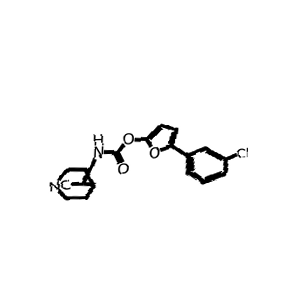 O=C(NC1CN2CCC1CC2)Oc1ccc(-c2cccc(Cl)c2)o1